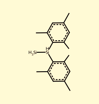 Cc1cc(C)c([SiH]([SiH3])c2c(C)cc(C)cc2C)c(C)c1